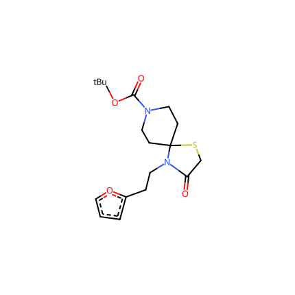 CC(C)(C)OC(=O)N1CCC2(CC1)SCC(=O)N2CCc1ccco1